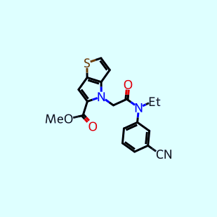 CCN(C(=O)Cn1c(C(=O)OC)cc2sccc21)c1cccc(C#N)c1